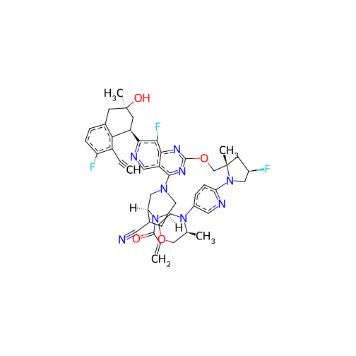 C#Cc1c(F)ccc2c1[C@H](c1ncc3c(N4C[C@H]5CC(C#N)[C@@H](C4)N5C(=O)C=C)nc(OC[C@]4(C)C[C@@H](F)CN4c4ccc(N5CCOC[C@@H]5C)cn4)nc3c1F)C[C@](C)(O)C2